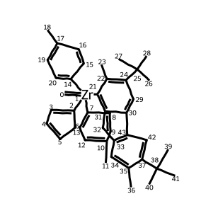 [CH2]=[Zr]([C]1=CC=CC1)([c]1ccc(C)cc1)([c]1ccc(C)cc1)[c]1c(C)c(C(C)(C)C)cc2c1Cc1cc(C)c(C(C)(C)C)cc1-2